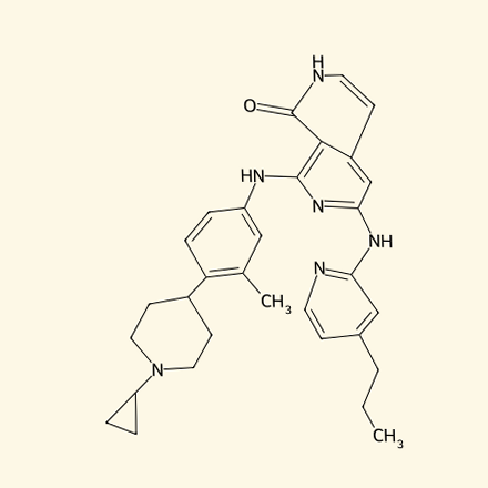 CCCc1ccnc(Nc2cc3cc[nH]c(=O)c3c(Nc3ccc(C4CCN(C5CC5)CC4)c(C)c3)n2)c1